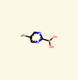 CCCc1cnc(B(O)O)nc1